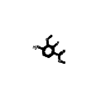 COC(=O)c1ccc(N)c(OC)c1F